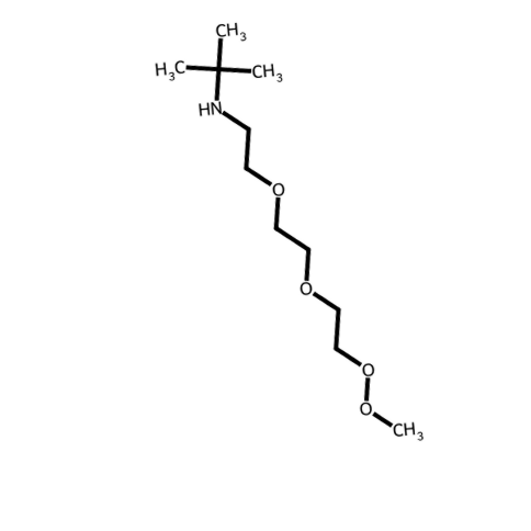 COOCCOCCOCCNC(C)(C)C